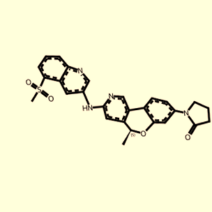 C[C@@H]1Oc2cc(N3CCCC3=O)ccc2-c2cnc(Nc3cnc4cccc(S(C)(=O)=O)c4c3)cc21